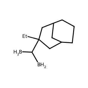 BC(B)C1(CC)CC2CCCC(C2)C1